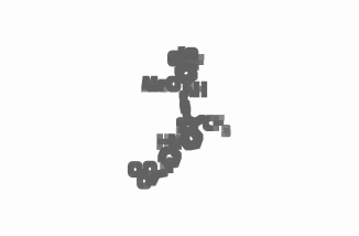 COc1cc(S(C)(=O)=O)c(F)cc1NCC#Cc1sc2c(NC3CCN(CC4COC(=O)O4)CC3)cccc2c1CC(F)(F)F